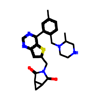 Cc1ccc(CN2CCNCC2C)c(-c2ncnc3cc(CN4C(=O)C5CC5C4=O)sc23)c1